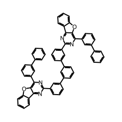 c1ccc(-c2cccc(-c3nc(-c4cccc(-c5cccc(-c6cccc(-c7nc(-c8cccc(-c9ccccc9)c8)c8oc9ccccc9c8n7)c6)c5)c4)nc4c3oc3ccccc34)c2)cc1